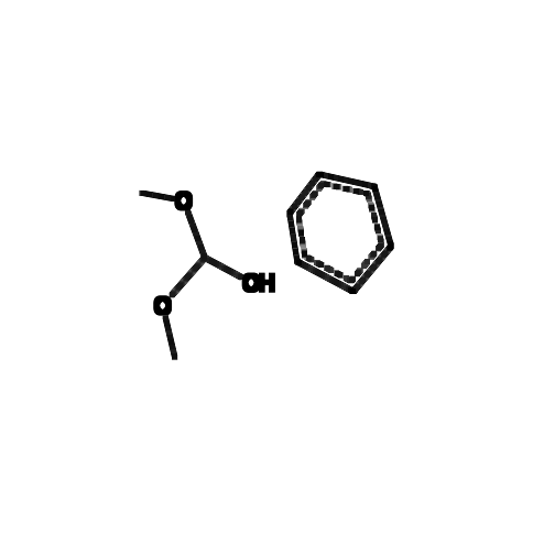 COC(O)OC.c1ccccc1